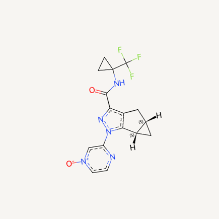 O=C(NC1(C(F)(F)F)CC1)c1nn(-c2c[n+]([O-])ccn2)c2c1C[C@@H]1C[C@H]21